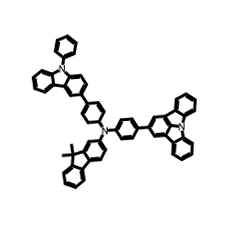 CC1(C)c2ccccc2-c2ccc(N(c3ccc(-c4cc5c6ccccc6n6c7ccccc7c(c4)c56)cc3)C3C=CC(c4ccc5c(c4)c4ccccc4n5-c4ccccc4)=CC3)cc21